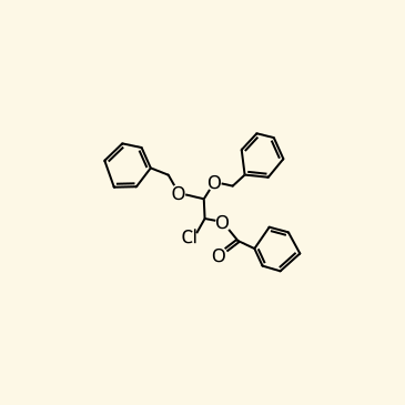 O=C(OC(Cl)C(OCc1ccccc1)OCc1ccccc1)c1ccccc1